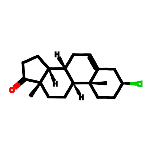 C[C@]12CC[C@H](Cl)CC1=CC[C@@H]1[C@@H]2CC[C@]2(C)C(=O)CC[C@@H]12